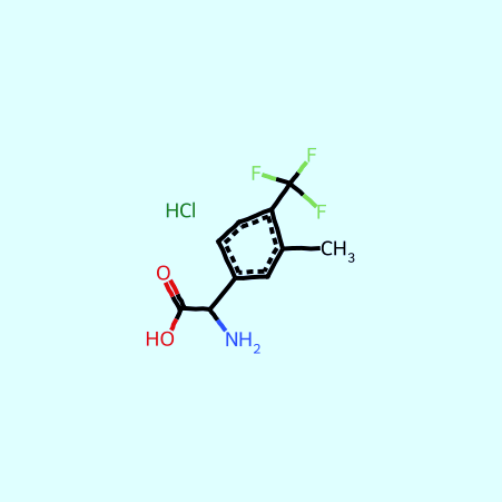 Cc1cc(C(N)C(=O)O)ccc1C(F)(F)F.Cl